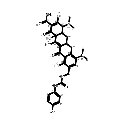 CC(=O)c1ccc(NC(=O)NCc2cc(N(C)C)c3c(c2O)C(=O)C2=C(O)C4(O)C(=O)C(C(N)=O)=C(O)C(N(C)C)C4CC2C3)cc1